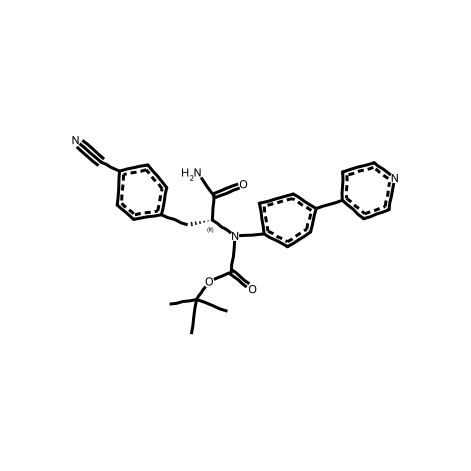 CC(C)(C)OC(=O)N(c1ccc(-c2ccncc2)cc1)[C@H](Cc1ccc(C#N)cc1)C(N)=O